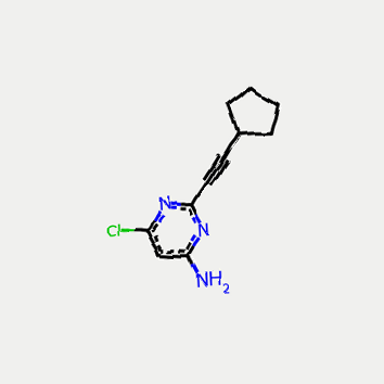 Nc1cc(Cl)nc(C#CC2CCCC2)n1